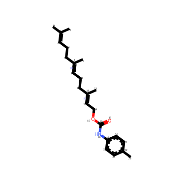 CC(C)=CCC/C(C)=C/CC/C(C)=C/COC(=O)Nc1ccc(C)cc1